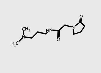 CN(C)CCCNC(=O)CN1CCCC1=O